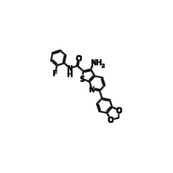 Nc1c(C(=O)Nc2ccccc2F)sc2nc(-c3ccc4c(c3)OCO4)ccc12